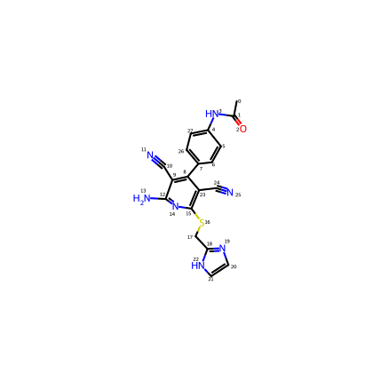 CC(=O)Nc1ccc(-c2c(C#N)c(N)nc(SCc3ncc[nH]3)c2C#N)cc1